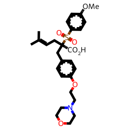 COc1ccc(S(=O)(=O)C(CC=C(C)C)(Cc2ccc(OCCN3CCOCC3)cc2)C(=O)O)cc1